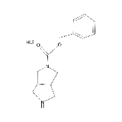 Cl.O=C(OCc1ccccc1)N1CC2CNCC2C1